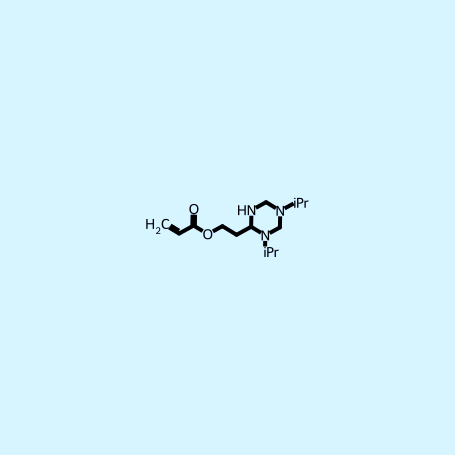 C=CC(=O)OCCC1NCN(C(C)C)CN1C(C)C